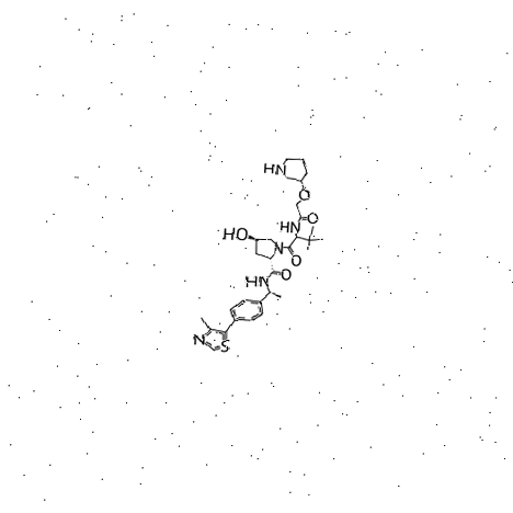 Cc1ncsc1-c1ccc([C@H](C)NC(=O)[C@@H]2C[C@@H](O)CN2C(=O)[C@@H](NC(=O)COC2CCCNC2)C(C)(C)C)cc1